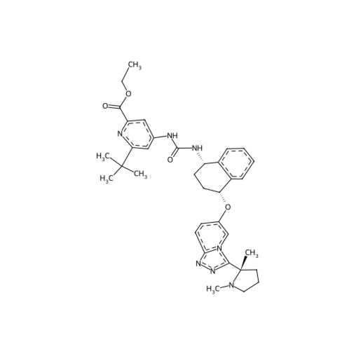 CCOC(=O)c1cc(NC(=O)N[C@H]2CC[C@@H](Oc3ccc4nnc([C@]5(C)CCCN5C)n4c3)c3ccccc32)cc(C(C)(C)C)n1